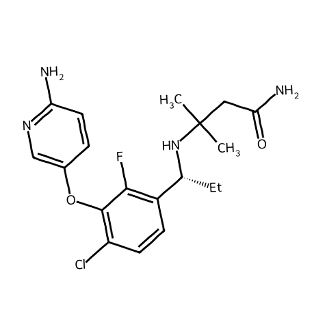 CC[C@@H](NC(C)(C)CC(N)=O)c1ccc(Cl)c(Oc2ccc(N)nc2)c1F